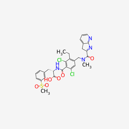 CCc1c(CN(C)C(=O)C2=Nc3ncccc3C2)cc(Cl)c(C(=O)N[C@@H](Cc2cccc(S(C)(=O)=O)c2)C(=O)O)c1Cl